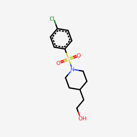 O=S(=O)(c1ccc(Cl)cc1)N1CCC(CCO)CC1